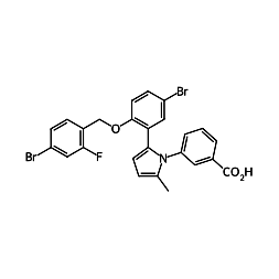 Cc1ccc(-c2cc(Br)ccc2OCc2ccc(Br)cc2F)n1-c1cccc(C(=O)O)c1